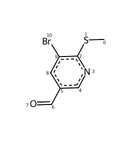 CSc1ncc(C=O)cc1Br